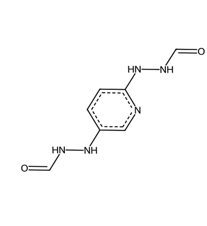 O=CNNc1ccc(NNC=O)nc1